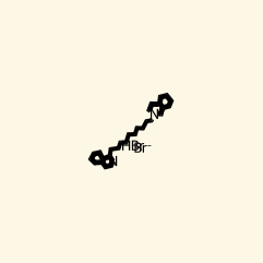 Br.[Br-].c1ccc2c[n+](CCCCCCCCCCc3nccc4ccccc34)ccc2c1